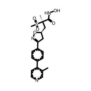 Cc1cnccc1-c1ccc(C2=NO[C@@H](C[C@](C)(C(=O)NO)S(C)(=O)=O)C2)cc1